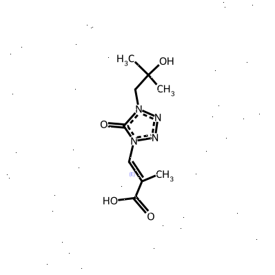 C/C(=C\n1nnn(CC(C)(C)O)c1=O)C(=O)O